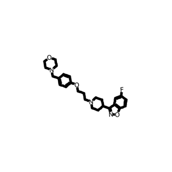 Fc1ccc2onc(C3CCN(CCCOc4ccc(CN5CCOCC5)cc4)CC3)c2c1